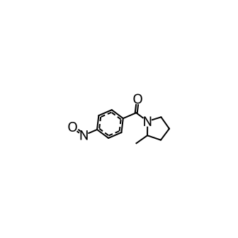 CC1CCCN1C(=O)c1ccc(N=O)cc1